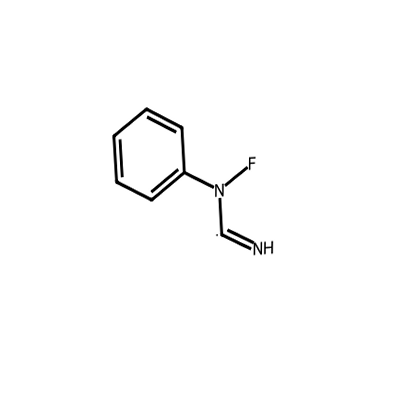 N=[C]N(F)c1ccccc1